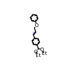 CCOC(OCC)c1ccc(/C=C/COc2ccccc2)cc1